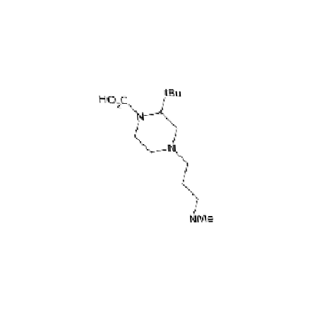 CNCCCN1CCN(C(=O)O)C(C(C)(C)C)C1